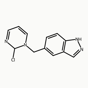 ClC1N=CC=CN1Cc1ccc2[nH]ncc2c1